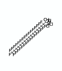 CC(C(F)(F)C(F)(F)C(F)(F)C(F)(F)C(F)(F)C(F)(F)C(F)(F)C(F)(F)C(F)(F)C(F)(F)C(F)(F)C(F)(F)C(F)(F)C(F)(F)C(F)(F)C(F)(F)F)[Si](Cl)(Cl)Cl